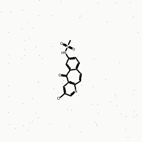 CS(=O)(=O)Nc1ccc2ccc3ncc(Cl)cc3c(=O)c2c1